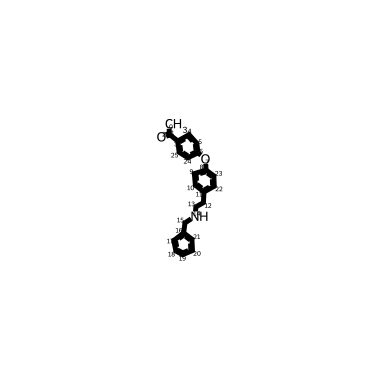 CC(=O)c1ccc(Oc2ccc(CCNCc3ccccc3)cc2)cc1